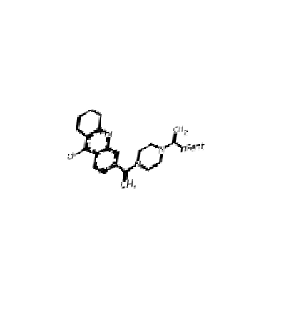 C=C(CCCCC)N1CCN(C(=C)c2ccc3c(Cl)c4c(nc3c2)CCCC4)CC1